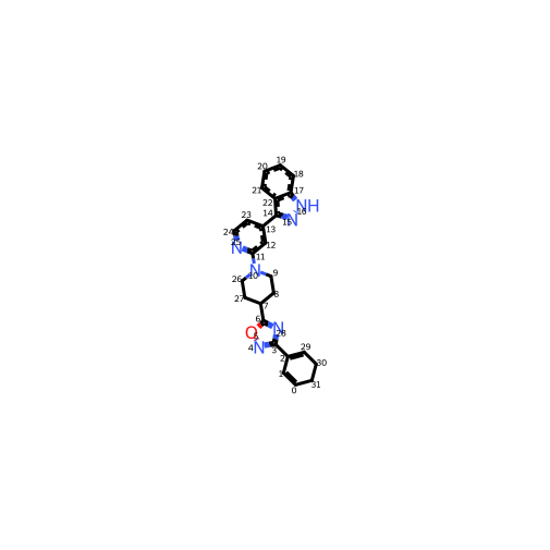 C1=CC(c2noc(C3CCN(c4cc(-c5n[nH]c6ccccc56)ccn4)CC3)n2)=CCC1